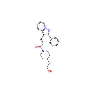 O=C(C=Cc1c(-c2ccccc2)nn2ccccc12)N1CCC(CCO)CC1